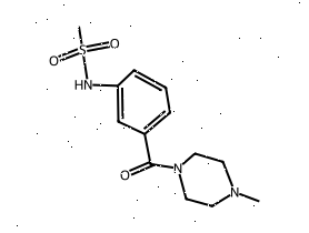 CN1CCN(C(=O)c2cccc(NS(C)(=O)=O)c2)CC1